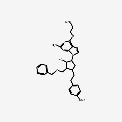 COCCOc1nc(N)nc2c1ncn2C1CC(OCc2ccc(OC)cc2)C(COCc2ccccc2)C1O